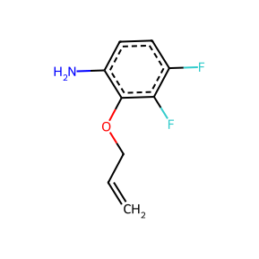 C=CCOc1c(N)ccc(F)c1F